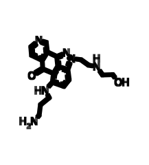 NCCCNc1ccc2c3c(nn2CCNCCO)-c2cnccc2C(=O)c13